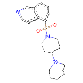 O=S(=O)(c1cccc2cnccc12)N1CCC(N2CCCCC2)CC1